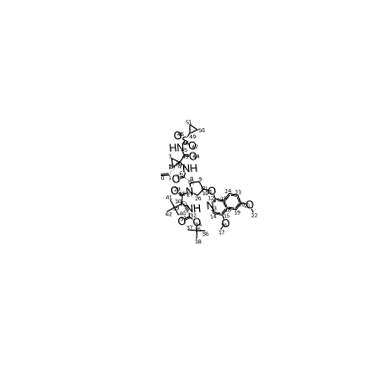 C=C[C@@H]1C[C@]1(NC(=O)[C@@H]1C[C@@H](Oc2ncc(OC)c3cc(OC)ccc23)CN1C(=O)[C@@H](NC(=O)OC(C)(C)C)C(C)(C)C)C(=O)NS(=O)(=O)C1CC1